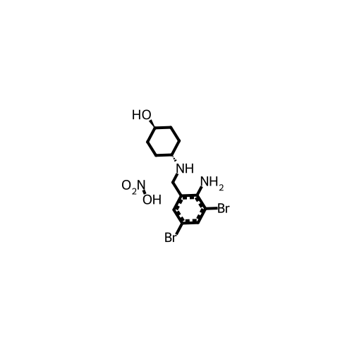 Nc1c(Br)cc(Br)cc1CN[C@H]1CC[C@H](O)CC1.O=[N+]([O-])O